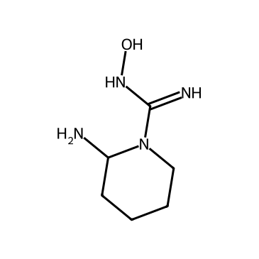 N=C(NO)N1CCCCC1N